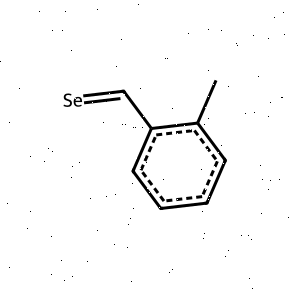 Cc1ccccc1C=[Se]